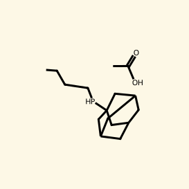 CC(=O)O.CCCCPC12CC3CC(CC(C3)C1)C2